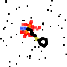 NC(CCCSC1CCCCC1)(P(=O)(O)O)P(=O)(O)O.O